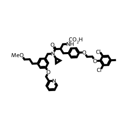 COCCCc1cc(CN(C(=O)C(CNC(=O)O)Cc2ccc(OCCOc3c(Cl)cc(C)cc3Cl)cc2)C2CC2)cc(OCc2ccccn2)c1